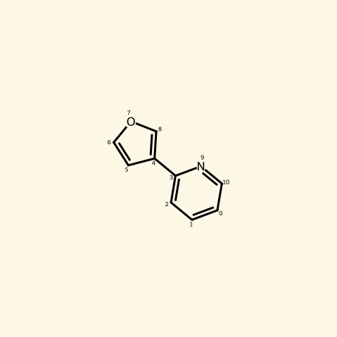 c1ccc(-c2ccoc2)nc1